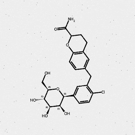 NC(=O)C1CCc2cc(Cc3cc([C@@H]4O[C@H](CO)[C@@H](O)[C@H](O)[C@@H]4O)ccc3Cl)ccc2O1